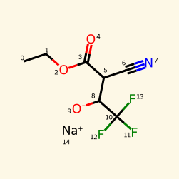 CCOC(=O)C(C#N)C([O-])C(F)(F)F.[Na+]